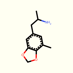 Cc1cc(CC(C)N)cc2c1OCO2